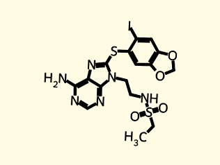 CCS(=O)(=O)NCCn1c(Sc2cc3c(cc2I)OCO3)nc2c(N)ncnc21